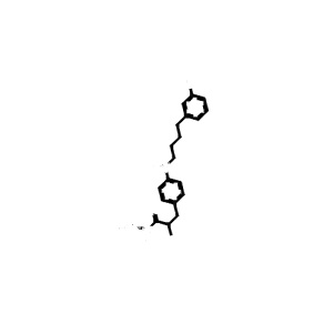 CC(Cc1ccc(NCCCCc2cccc(F)c2)cc1)C(=O)NN